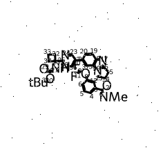 CNC(=O)c1cccc(OC(F)F)c1[C@H]1CCc2nc3ccc(-c4cnc(C5(NC(=O)OC(C)(C)C)CCC5)nc4)cc3n21